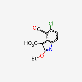 CCOC1=Nc2ccc(Cl)c(=C=O)c2=C1C(=O)O